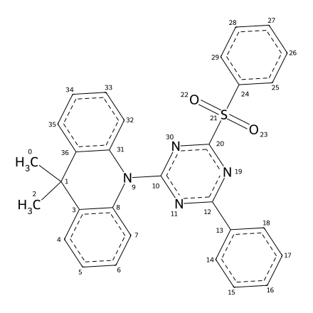 CC1(C)c2ccccc2N(c2nc(-c3ccccc3)nc(S(=O)(=O)c3ccccc3)n2)c2ccccc21